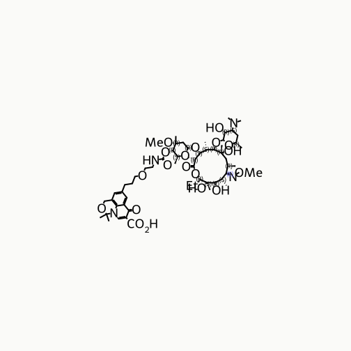 CC[C@H]1OC(=O)[C@H](C)[C@@H](O[C@H]2C[C@@](C)(OC)[C@@H](OC(=O)NCCOCCCc3cc4c5c(c3)c(=O)c(C(=O)O)cn5C(C)(C)OC4)[C@H](C)O2)[C@H](C)[C@@H](OC2O[C@H](C)C[C@H](N(C)C)[C@H]2O)[C@](C)(O)C[C@@H](C)/C(=N\OC)[C@H](C)[C@@H](O)[C@]1(C)O